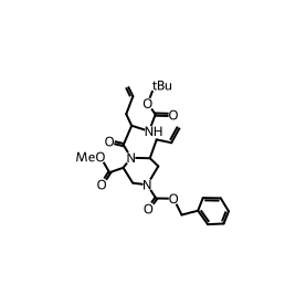 C=CCC(NC(=O)OC(C)(C)C)C(=O)N1C(CC=C)CN(C(=O)OCc2ccccc2)CC1C(=O)OC